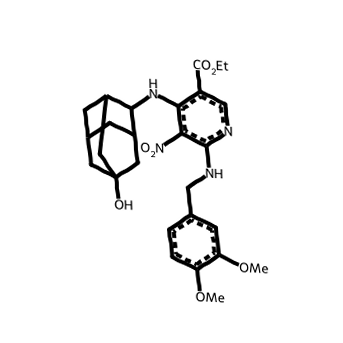 CCOC(=O)c1cnc(NCc2ccc(OC)c(OC)c2)c([N+](=O)[O-])c1NC1C2CC3CC1CC(O)(C3)C2